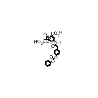 O=C(Cc1ccc(OC(=O)Oc2ccccc2)cc1)NC1C=C(C(=O)O)N2C(=O)C(C(=O)O)[C@H]2S1